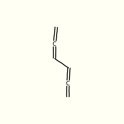 C=C=[C]C=C=C